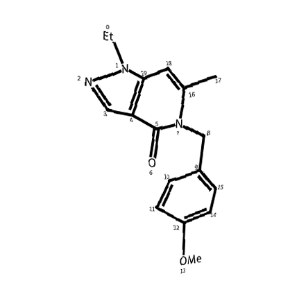 CCn1ncc2c(=O)n(Cc3ccc(OC)cc3)c(C)cc21